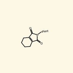 CCCCCN1C(=O)C2=C(CCCC2)C1=O